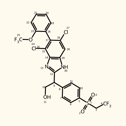 O=S(=O)(CC(F)(F)F)c1ccc(C(CO)c2nc3c(Cl)c(-c4ccccc4OC(F)(F)F)c(Cl)cc3[nH]2)cc1